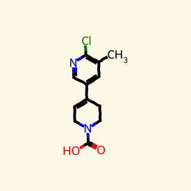 Cc1cc(C2=CCN(C(=O)O)CC2)cnc1Cl